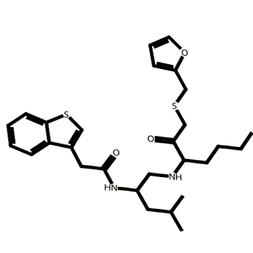 CCCCC(NCC(CC(C)C)NC(=O)Cc1csc2ccccc12)C(=O)CSCc1ccco1